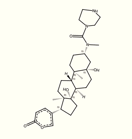 CN(C(=O)N1CCNCC1)[C@H]1CC[C@]2(C)[C@H]3CC[C@]4(C)[C@@H](c5ccc(=O)oc5)CC[C@]4(O)[C@@H]3CC[C@]2(O)C1